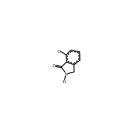 CCN1Cc2cccc(Cl)c2C1=O